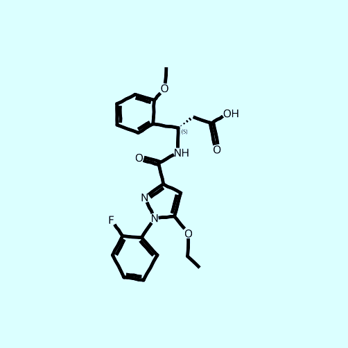 CCOc1cc(C(=O)N[C@@H](CC(=O)O)c2ccccc2OC)nn1-c1ccccc1F